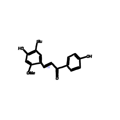 COc1cc(O)c(C(C)(C)C)cc1/C=C/C(=O)c1ccc(O)cc1